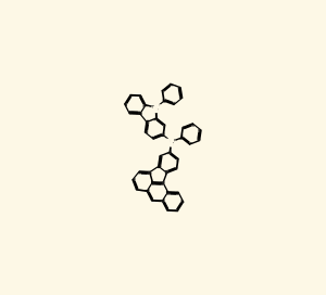 c1ccc(N(c2ccc3c(c2)-c2cccc4cc5ccccc5c-3c24)c2ccc3c4ccccc4n(-c4ccccc4)c3c2)cc1